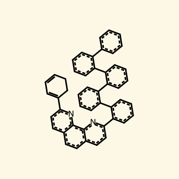 C1=CCCC(c2ccc3ccc4ccc(-c5ccccc5-c5ccccc5-c5ccccc5-c5ccccc5-c5ccccc5)nc4c3n2)=C1